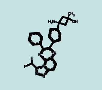 C[C@]1(O)C[C@@](N)(c2ccc(-c3nc4ccc5nnc(C(F)F)n5c4nc3-c3ccccc3)cc2)C1